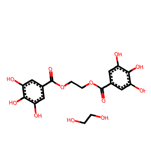 O=C(OCCOC(=O)c1cc(O)c(O)c(O)c1)c1cc(O)c(O)c(O)c1.OCCO